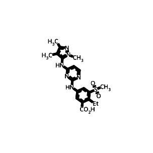 CCc1c(C(=O)O)cc(Nc2nccc(Nc3c(C)c(C)nn3C)n2)cc1S(C)(=O)=O